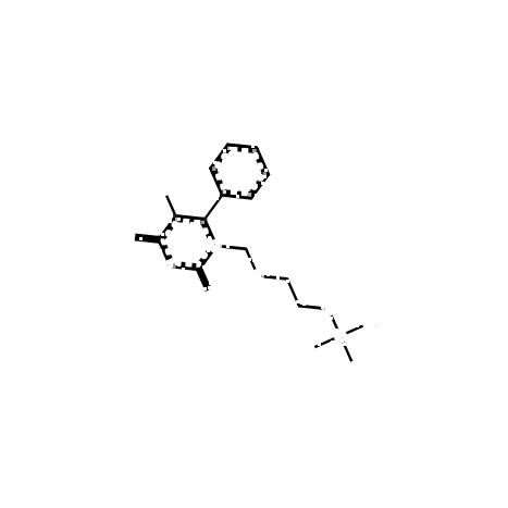 CCc1c(-c2ccccc2)n(COCCO[Si](C)(C)C(C)(C)C)c(=S)[nH]c1=O